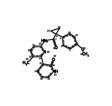 COc1ccc(C2(C(=O)Nc3ccc(C)c(-c4ccc[nH]c4=O)n3)CC2)cc1